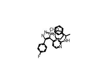 CC(Nc1nccc(C2=C(c3ccc(F)cc3)N=N[N@@+]2(C=O)N2CCCCC2)n1)c1ccccc1